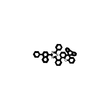 C1=CCC2OC3=C(C=CCC3C3=C(c4nc(C5=CCCC=C5)nc(-c5ccc(C6C=CC=CC6)c6ccccc56)n4)CCC=C3)C3(C2=C1)c1ccccc1-c1ccccc13